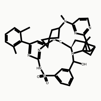 Cc1cccc(C)c1-c1cc2nc(n1)NS(=O)(=O)c1cccc(c1)C(O)N(C13CC(C1)C3c1nccc(N(C)C3CC4(CC4)C3)n1)[C@H](CC(C)C)CO2